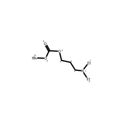 CCN(CC)CCCOC(=O)OC(C)(C)C